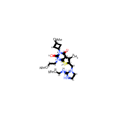 COCCn1c(=O)n(C2CC(OC)C2)c(=O)c2c(C)c(CN3CCN/C3=N\COC)sc21